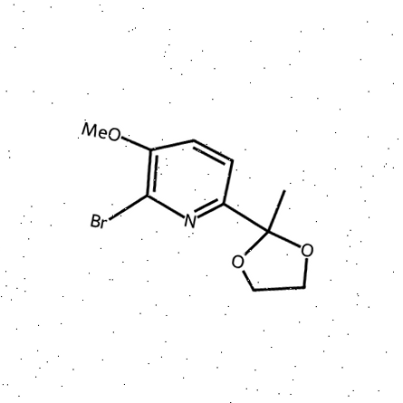 COc1ccc(C2(C)OCCO2)nc1Br